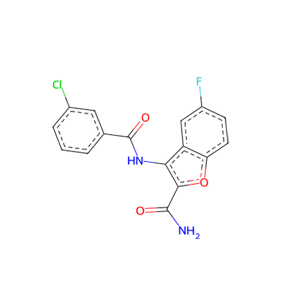 NC(=O)c1oc2ccc(F)cc2c1NC(=O)c1cccc(Cl)c1